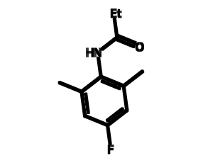 CCC(=O)Nc1c(C)cc(F)cc1C